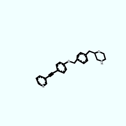 C(#Cc1cccnc1)c1ccc(OCc2ccc(CC3CNCCO3)cc2)cc1